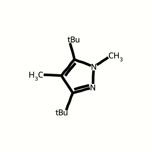 Cc1c(C(C)(C)C)nn(C)c1C(C)(C)C